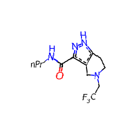 CCCNC(=O)c1n[nH]c2c1CN(CC(F)(F)F)CC2